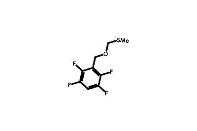 CSCOCc1c(F)c(F)cc(F)c1F